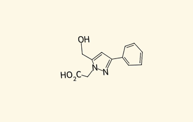 O=C(O)Cn1nc(-c2ccccc2)cc1CO